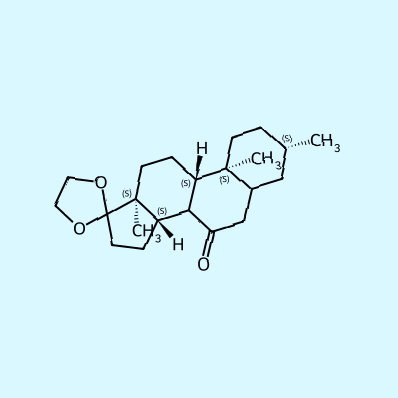 C[C@H]1CC[C@@]2(C)C(CC(=O)C3[C@@H]2CC[C@@]2(C)[C@H]3CCC23OCCO3)C1